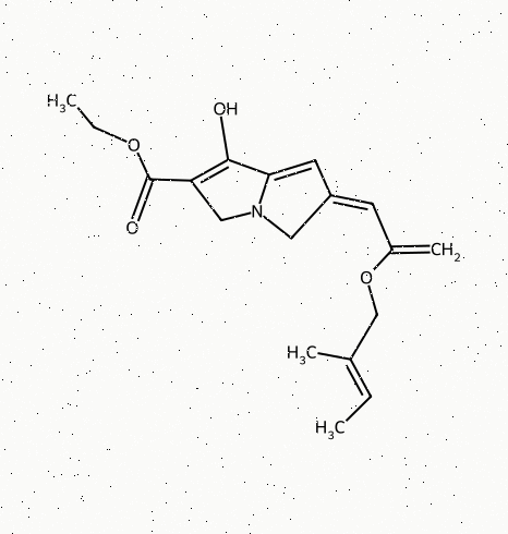 C=C(/C=C1/C=C2C(O)=C(C(=O)OCC)CN2C1)OC/C(C)=C/C